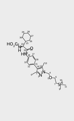 Cc1nn(COCC[Si](C)(C)C)c(C)c1-c1ccc(NC(=O)[C@@H](NC(=O)O)C2CCCCC2)cc1